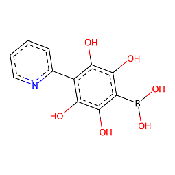 OB(O)c1c(O)c(O)c(-c2ccccn2)c(O)c1O